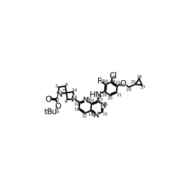 CC(C)(C)OC(=O)N1CCC12CN(c1ccc3ncnc(Nc4ccc(OCC5CC5)c(Cl)c4F)c3n1)C2